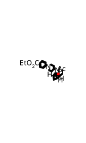 CCOC(=O)c1ccc(N2CCC(N(C(C)=O)[C@H]3C[C@H]4C[C@@H]([C@@H]3C)C4(C)C)CC2)cc1